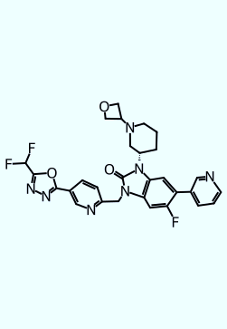 O=c1n(Cc2ccc(-c3nnc(C(F)F)o3)cn2)c2cc(F)c(-c3cccnc3)cc2n1[C@H]1CCCN(C2COC2)C1